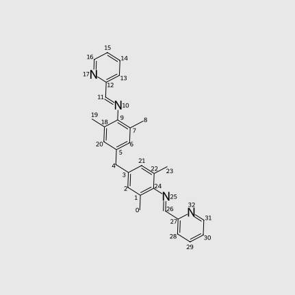 Cc1cc(Cc2cc(C)c(/N=C/c3ccccn3)c(C)c2)cc(C)c1/N=C/c1ccccn1